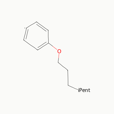 CCCC(C)CCCOc1cc[c]cc1